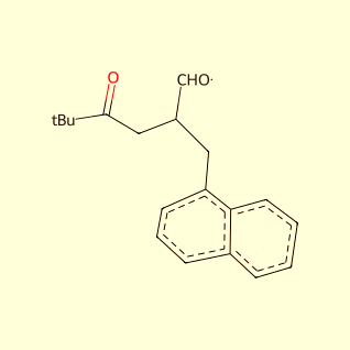 CC(C)(C)C(=O)CC([C]=O)Cc1cccc2ccccc12